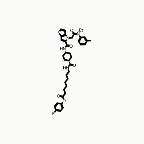 CCN(C(=O)Cn1c(C(=O)N[C@H]2CC[C@H](C(=O)NCCCCCCCC(=O)Oc3ccc(F)cc3)CC2)cc2sccc21)c1cccc(C)c1